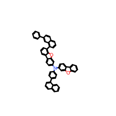 c1ccc(-c2ccc3cccc(-c4cccc5c4oc4cc(N(c6ccc(-c7cccc8ccccc78)cc6)c6ccc7c(c6)oc6ccccc67)ccc45)c3c2)cc1